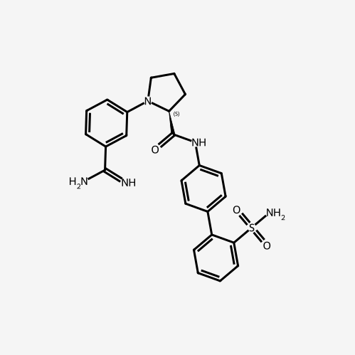 N=C(N)c1cccc(N2CCC[C@H]2C(=O)Nc2ccc(-c3ccccc3S(N)(=O)=O)cc2)c1